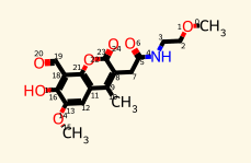 COCCNC(=O)Cc1c(C)c2cc(OC)c(O)c(C=O)c2oc1=O